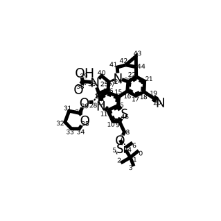 CC(C)(C)[Si](C)(C)OCc1cc2nccc(-c3cc(C#N)cc4c3N([C@H]3C[C@H](COC5CCCCO5)N(C(=O)O)C3)CC3CC43)c2s1